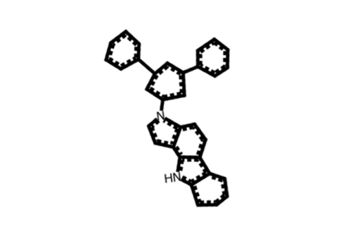 c1ccc(-c2cc(-c3ccccc3)cc(-n3ccc4c5[nH]c6ccccc6c5ccc43)c2)cc1